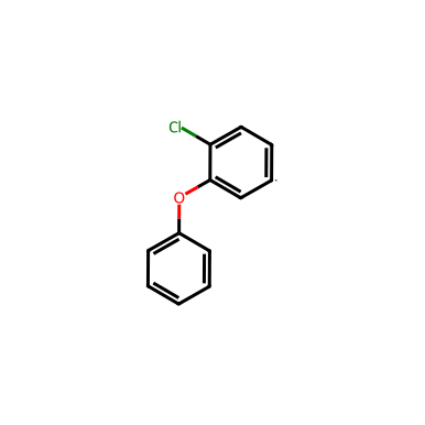 Clc1cc[c]cc1Oc1ccccc1